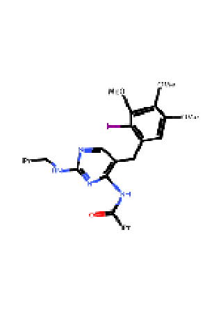 COc1cc(Cc2cnc(NCC(C)C)nc2NC(=O)C(C)C)c(I)c(OC)c1OC